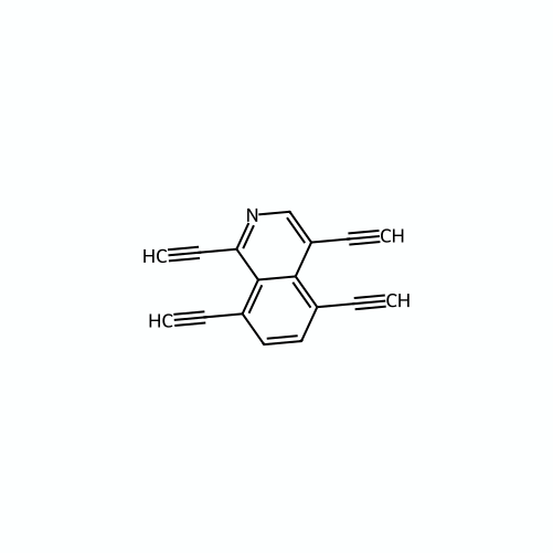 C#Cc1ccc(C#C)c2c(C#C)ncc(C#C)c12